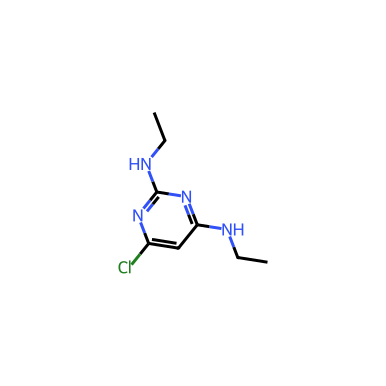 CCNc1cc(Cl)nc(NCC)n1